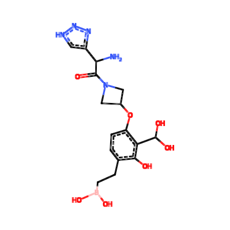 NC(C(=O)N1CC(Oc2ccc(CCB(O)O)c(O)c2C(O)O)C1)c1c[nH]nn1